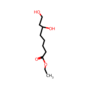 CCOC(=O)CCCCC(O)CCO